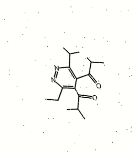 CCc1nnc(C(C)C)c(C(=O)C(C)C)c1C(=O)C(C)C